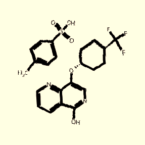 Cc1ccc(S(=O)(=O)O)cc1.Oc1ncc(O[C@H]2CC[C@H](C(F)(F)F)CC2)c2ncccc12